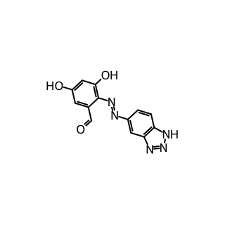 O=Cc1cc(O)cc(O)c1/N=N/c1ccc2[nH]nnc2c1